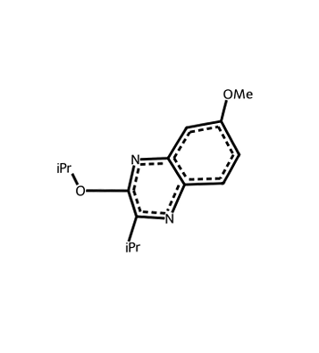 COc1ccc2nc(C(C)C)c(OC(C)C)nc2c1